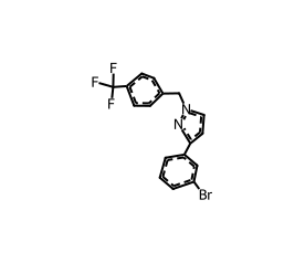 FC(F)(F)c1ccc(Cn2ccc(-c3cccc(Br)c3)n2)cc1